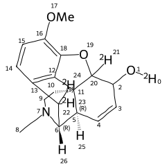 [2H]OC1C=C[C@H]2[C@@H]3N(C)CC[C@@]24c2c(ccc(OC)c2OC14[2H])C3([2H])[2H]